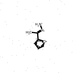 C/C(=N\N)c1ccco1